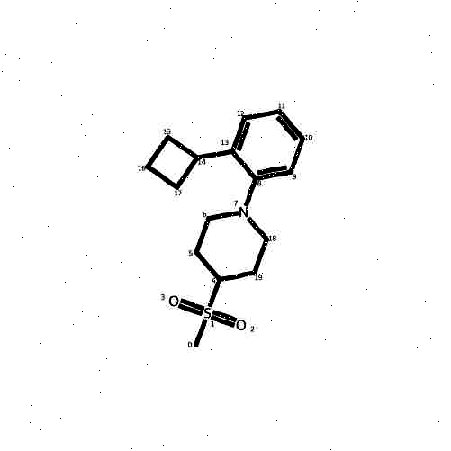 CS(=O)(=O)C1CCN(c2cc[c]cc2C2CCC2)CC1